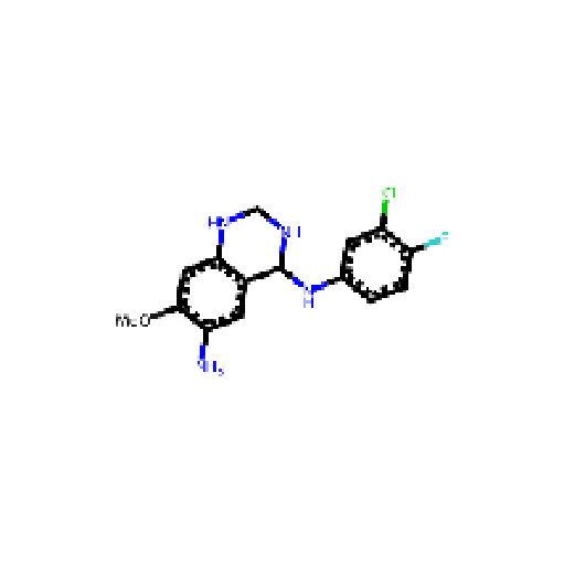 COc1cc2c(cc1N)C(Nc1ccc(F)c(Cl)c1)NCN2